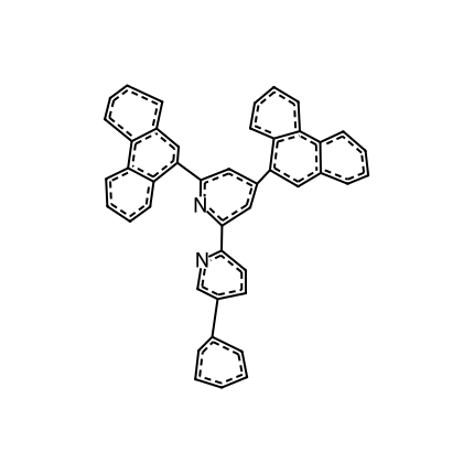 c1ccc(-c2ccc(-c3cc(-c4cc5ccccc5c5ccccc45)cc(-c4cc5ccccc5c5ccccc45)n3)nc2)cc1